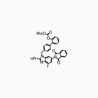 CCCc1nc2c(C)cc(N3C(=O)c4ccccc4C3=O)cc2n1Cc1ccc(-c2ccccc2OC(=O)OC)cc1